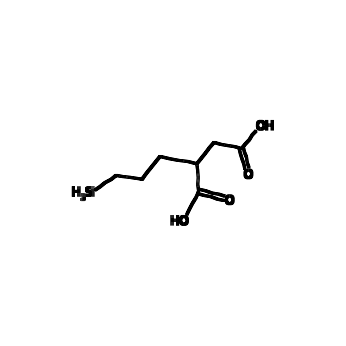 O=C(O)CC(CCC[SiH3])C(=O)O